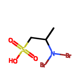 CC(CS(=O)(=O)O)N(Br)Br